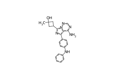 CC1(O)CC(c2nc(-c3ccc(Nc4ccccc4)cc3)c3c(N)ncnn23)C1